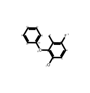 Cc1c(F)ccc([O])c1Oc1ccccc1